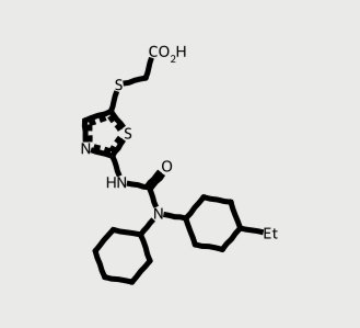 CCC1CCC(N(C(=O)Nc2ncc(SCC(=O)O)s2)C2CCCCC2)CC1